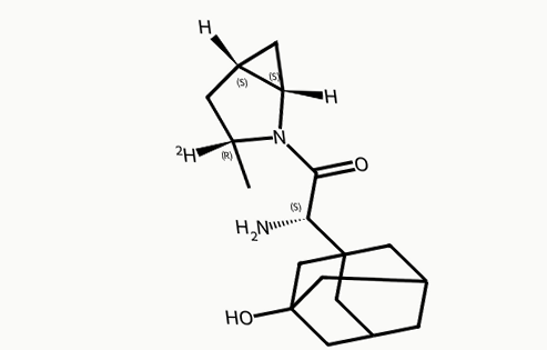 [2H][C@@]1(C)C[C@@H]2C[C@@H]2N1C(=O)[C@@H](N)C12CC3CC(CC(O)(C3)C1)C2